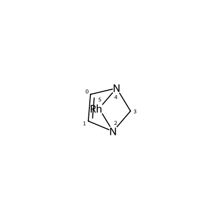 C1=C[N]2C[N]1[Rh]2